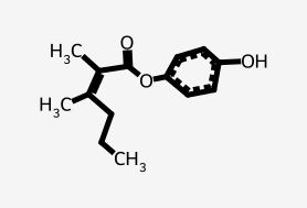 CCCC(C)=C(C)C(=O)Oc1ccc(O)cc1